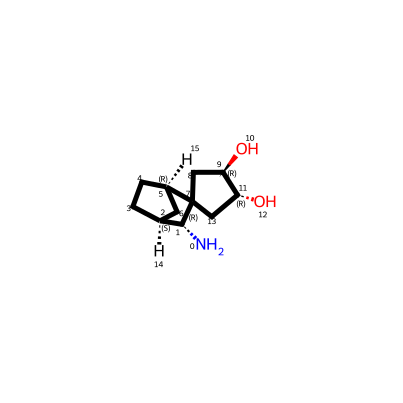 N[C@@H]1[C@H]2CC[C@H](C2)C12C[C@@H](O)[C@H](O)C2